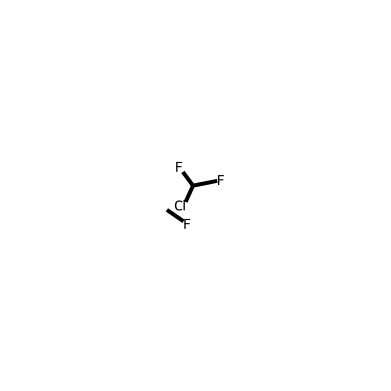 CF.FC(F)Cl